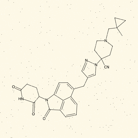 CC1(CN2CCC(C#N)(n3cc(Cc4ccc5c6c(cccc46)C(=O)N5C4CCC(=O)NC4=O)cn3)CC2)CC1